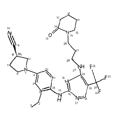 CCc1cc(N2CC[C@@H](C#N)C2)ccc1Nc1ncc(C(F)(F)F)c(NCCCN2CCCCC2=O)n1